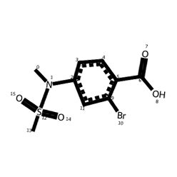 CN(c1ccc(C(=O)O)c(Br)c1)S(C)(=O)=O